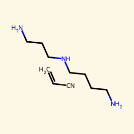 C=CC#N.NCCCCNCCCN